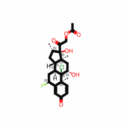 CC(=O)OCC(=O)[C@@]1(O)[C@@H](C)C[C@H]2[C@@H]3C[C@H](F)C4=CC(=O)C=C[C@]4(C)[C@@]3(Cl)[C@@H](O)C[C@@]21C